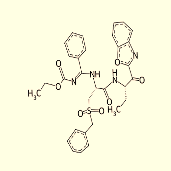 CCOC(=O)N=C(N[C@@H](CS(=O)(=O)Cc1ccccc1)C(=O)N[C@@H](CC)C(=O)c1nc2ccccc2o1)c1ccccc1